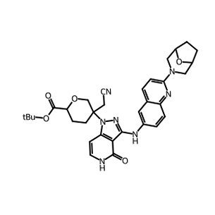 CC(C)(C)OC(=O)C1CCC(CC#N)(n2nc(Nc3ccc4nc(N5CC6CCC(C5)O6)ccc4c3)c3c(=O)[nH]ccc32)CO1